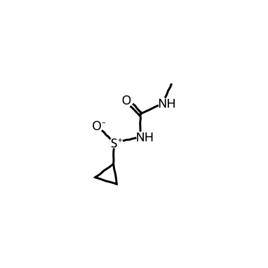 CNC(=O)N[S+]([O-])C1CC1